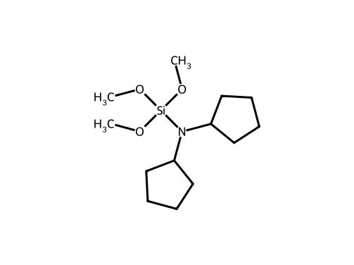 CO[Si](OC)(OC)N(C1CCCC1)C1CCCC1